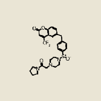 O=C(CN1CCN([S+]([O-])c2ccc(Cc3ccc4oc(=O)cc(C(F)(F)F)c4c3)cc2)CC1)N1CCCC1